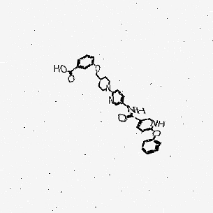 O=C(Nc1ccc(N2CCC(COc3cccc(C(=O)O)c3)CC2)nc1)C1=CC=C(Oc2ccccc2)NC1